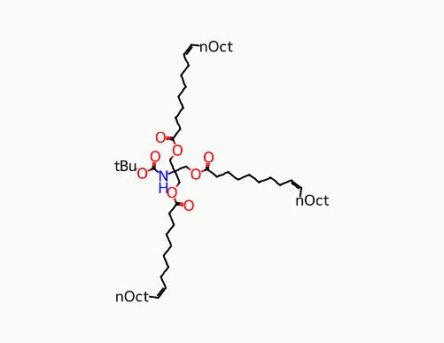 CCCCCCCC/C=C\CCCCCCCC(=O)OCC(COC(=O)CCCCCCC/C=C\CCCCCCCC)(COC(=O)CCCCCCC/C=C\CCCCCCCC)NC(=O)OC(C)(C)C